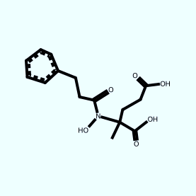 CC(CCC(=O)O)(C(=O)O)N(O)C(=O)CCc1ccccc1